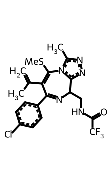 C=C(C)C1=C(SC)n2c(C)nnc2C(CNC(=O)C(F)(F)F)N=C1c1ccc(Cl)cc1